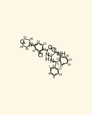 O=C(NC1N=C(c2ccccc2)c2ccccc2NC1=O)c1ccc(N2CCOCC2)cc1Cl